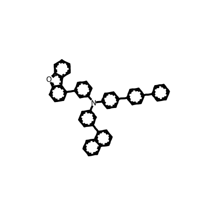 c1ccc(-c2ccc(-c3ccc(N(c4cccc(-c5cccc6ccccc56)c4)c4cccc(-c5cccc6oc7ccccc7c56)c4)cc3)cc2)cc1